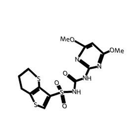 COc1cc(OC)nc(NC(=O)NS(=O)(=O)c2csc3c2SCCC3)n1